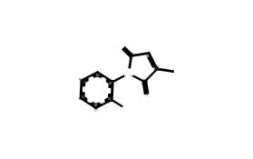 CC1=CC(=O)N(c2ccccc2C(=O)O)C1=O